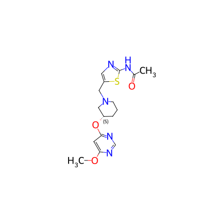 COc1cc(O[C@H]2CCCN(Cc3cnc(NC(C)=O)s3)C2)ncn1